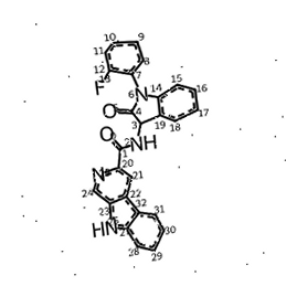 O=C(NC1C(=O)N(c2ccccc2F)c2ccccc21)c1cc2c(cn1)[nH]c1ccccc12